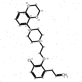 C=CCc1cccc(Cl)c1OCCN1CCN(c2cccc3c2OCCO3)CC1